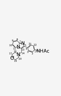 CC(=O)Nc1ccc(-c2nc3ccccn3c2CN2CCOCC2)cc1